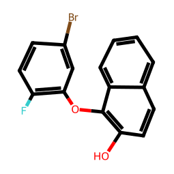 Oc1ccc2ccccc2c1Oc1cc(Br)ccc1F